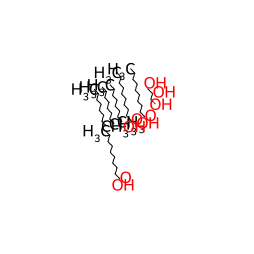 CCCCCCCC.CCCCCCCC.CCCCCCCC.CCCCCCCCCC(=O)O.CCCCCCCCCC(=O)O.CCCCCCCCCC(=O)O.OCC(O)CO